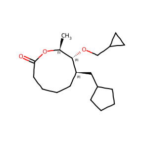 C[C@@H]1OC(=O)CCCC[C@H](CC2CCCC2)[C@H]1OCC1CC1